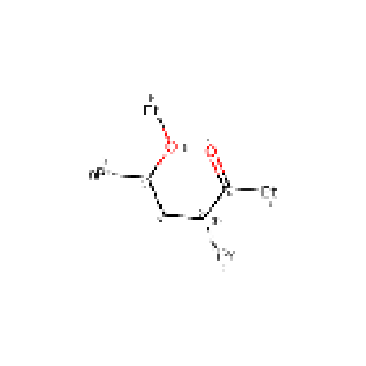 CCCC(C[C@H](C(=O)CC)C(C)C)OCC